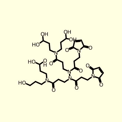 O=C(CCN(C(=O)CCN1C(=O)C=CC1=O)N(CCC(=O)N(CCC(O)O)CCC(O)O)C(=O)CCN1C(=O)C=CC1=O)N(CCCO)CCC(O)O